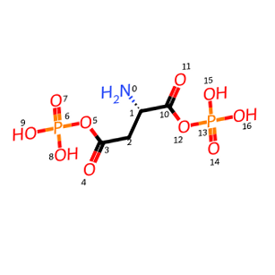 N[C@@H](CC(=O)OP(=O)(O)O)C(=O)OP(=O)(O)O